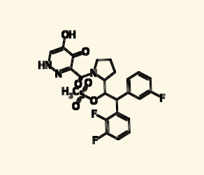 CS(=O)(=O)OC(C(c1cccc(F)c1)c1cccc(F)c1F)C1CCCN1C(=O)c1n[nH]cc(O)c1=O